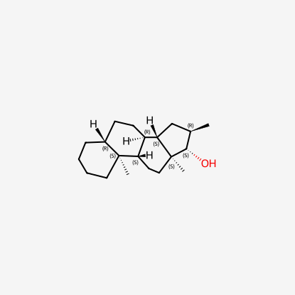 C[C@@H]1C[C@H]2[C@@H]3CC[C@H]4CCCC[C@]4(C)[C@H]3CC[C@]2(C)[C@H]1O